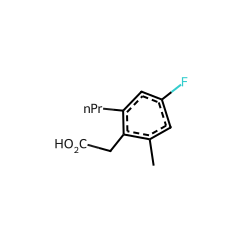 CCCc1cc(F)cc(C)c1CC(=O)O